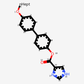 CCCCCCCOc1ccc(-c2ccc(OC(=O)c3c[nH]cn3)cc2)cc1